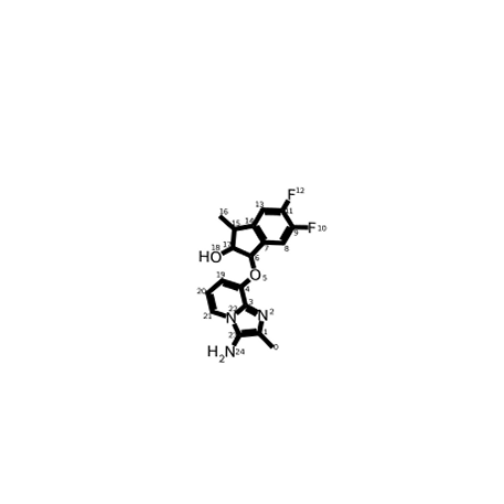 Cc1nc2c(OC3c4cc(F)c(F)cc4C(C)C3O)cccn2c1N